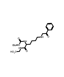 CC(C)(C)OC(=O)NC(CCCCNCC(=O)c1ccccc1)C(=O)NCC(=O)O